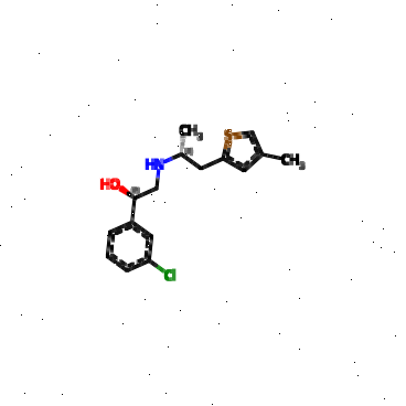 Cc1csc(C[C@@H](C)NC[C@H](O)c2cccc(Cl)c2)c1